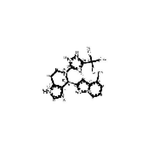 Fc1cccn2nc([C@H]3c4nc[nH]c4CCN3c3nnc(C(F)(F)F)o3)cc12